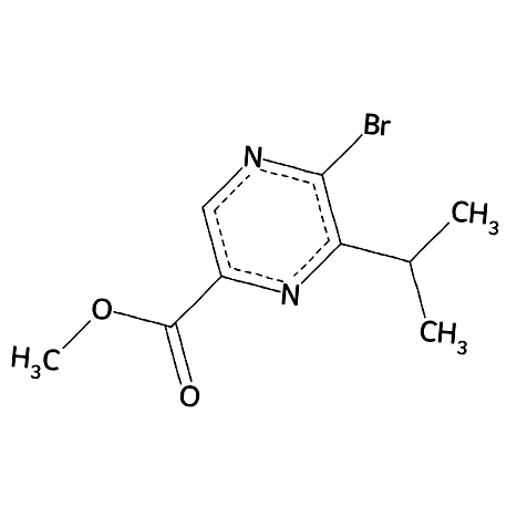 COC(=O)c1cnc(Br)c(C(C)C)n1